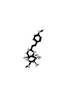 COc1ccc(C=CC2OC[C@H]3OC(OC)[C@H](O)[C@@H](O)[C@@H]3O2)cc1